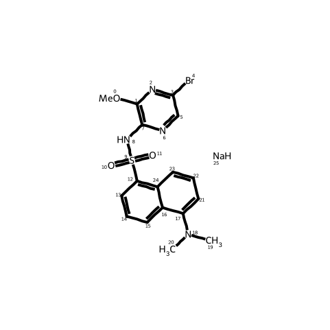 COc1nc(Br)cnc1NS(=O)(=O)c1cccc2c(N(C)C)cccc12.[NaH]